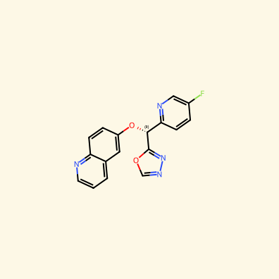 Fc1ccc([C@@H](Oc2ccc3ncccc3c2)c2nnco2)nc1